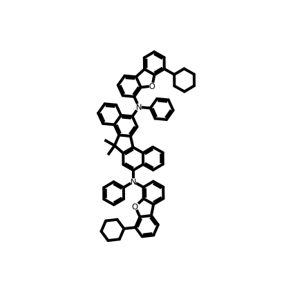 CC1(C)c2cc(N(c3ccccc3)c3cccc4c3oc3c(C5CCCCC5)cccc34)c3ccccc3c2-c2cc(N(c3ccccc3)c3cccc4c3oc3c(C5CCCCC5)cccc34)c3ccccc3c21